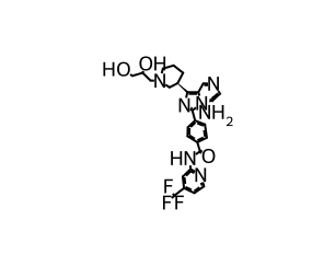 N[N+]12C=CN=CC1=C([C@@H]1CCCN(CC(O)CO)C1)N=C2c1ccc(C(=O)Nc2cc(C(F)(F)F)ccn2)cc1